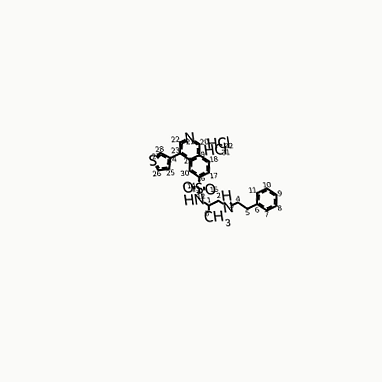 CC(CNCCc1ccccc1)NS(=O)(=O)c1ccc2cncc(-c3ccsc3)c2c1.Cl.Cl